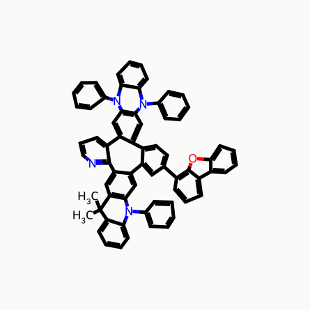 CC1(C)c2ccccc2N(c2ccccc2)c2cc3c4cc(-c5cccc6c5oc5ccccc56)ccc4c4cc5c(cc4c4cccnc4c3cc21)n(-c1ccccc1)c1ccccc1n5-c1ccccc1